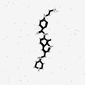 Cc1c(NC(=O)c2ccc(OCCC(F)(F)F)cc2)ccc2cc(CNC3CCSCC3)cnc12